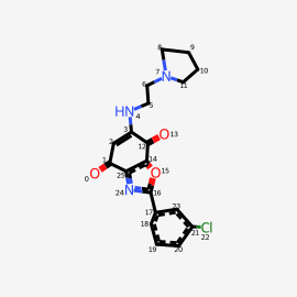 O=C1C=C(NCCN2CCCC2)C(=O)c2oc(-c3cccc(Cl)c3)nc21